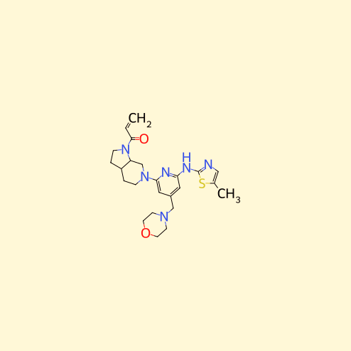 C=CC(=O)N1CCC2CCN(c3cc(CN4CCOCC4)cc(Nc4ncc(C)s4)n3)CC21